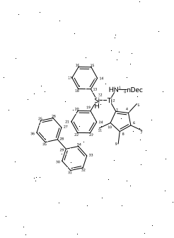 CCCCCCCCCC[NH][Ti]([C]1=C(C)C(C)=C(C)C1C)[SiH](c1ccccc1)c1ccccc1.c1ccc(-c2ccccc2)cc1